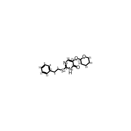 O=c1[nH]c(SCCc2ccccc2)ncc1OC1CCCCO1